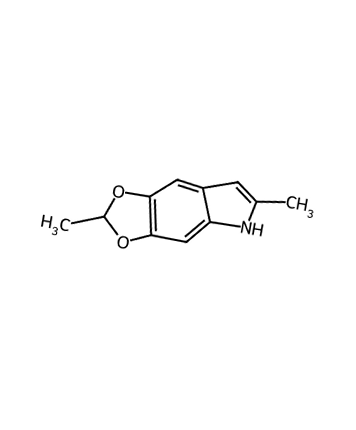 Cc1cc2cc3c(cc2[nH]1)OC(C)O3